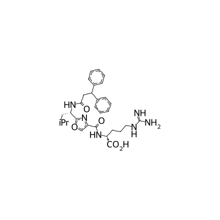 CC(C)C[C@H](NC(=O)CC(c1ccccc1)c1ccccc1)c1nc(C(=O)N[C@@H](CCCNC(=N)N)C(=O)O)co1